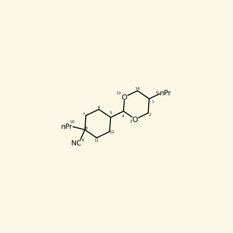 CCCC1COC(C2CCC(C#N)(CCC)CC2)OC1